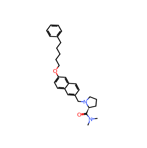 CN(C)C(=O)[C@@H]1CCCN1Cc1ccc2cc(OCCCCCc3ccccc3)ccc2c1